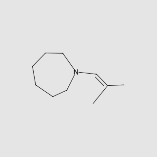 CC(C)=CN1CCCCCC1